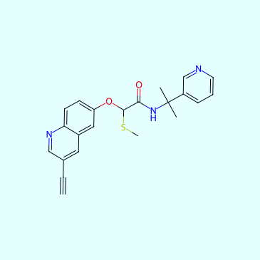 C#Cc1cnc2ccc(OC(SC)C(=O)NC(C)(C)c3cccnc3)cc2c1